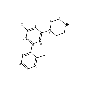 Cc1cc(N2CCNCC2)nc(-c2ccccc2C)n1